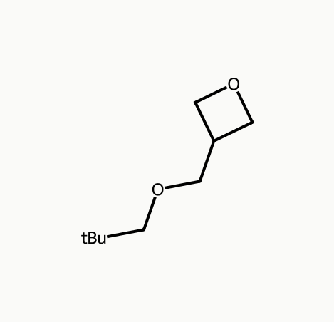 CC(C)(C)COCC1COC1